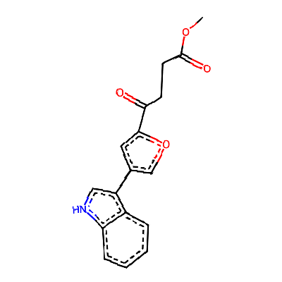 COC(=O)CCC(=O)c1cc(-c2c[nH]c3ccccc23)co1